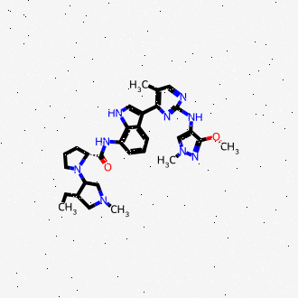 CCC1CN(C)CC1N1CCC[C@@H]1C(=O)Nc1cccc2c(-c3nc(Nc4cn(C)nc4OC)ncc3C)c[nH]c12